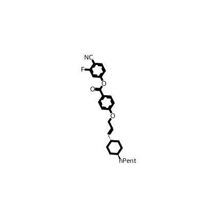 CCCCC[C@H]1CC[C@H](C=CCOc2ccc(C(=O)Oc3ccc(C#N)c(F)c3)cc2)CC1